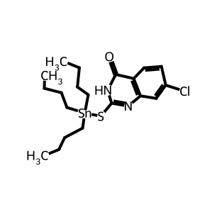 CCC[CH2][Sn]([CH2]CCC)([CH2]CCC)[S]c1nc2cc(Cl)ccc2c(=O)[nH]1